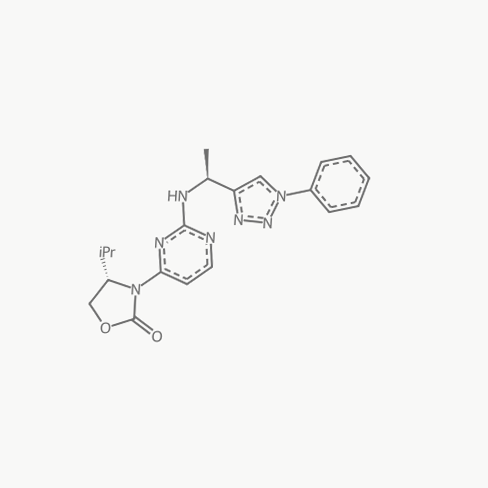 CC(C)[C@H]1COC(=O)N1c1ccnc(N[C@@H](C)c2cn(-c3ccccc3)nn2)n1